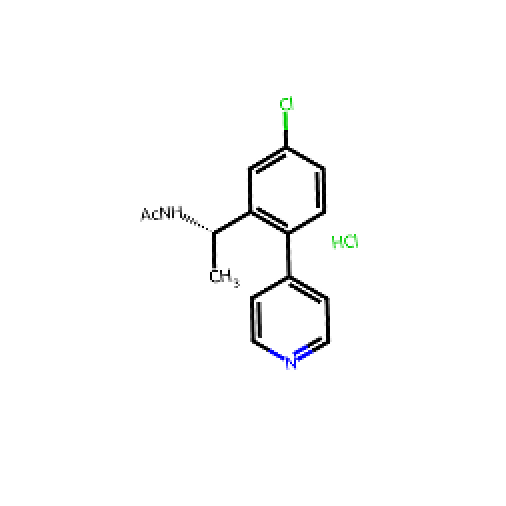 CC(=O)N[C@@H](C)c1cc(Cl)ccc1-c1ccncc1.Cl